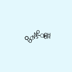 O=C1N=C(N2CCC3(CC2)OCc2ccccc23)SC1=C1CCS(O)(O)CC1